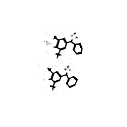 CC(C)(C)c1cc(C(c2ccccc2)P(=O)([O-])[O-])cc(C(C)(C)C)c1O.CC(C)(C)c1cc(C(c2ccccc2)P(=O)([O-])[O-])cc(C(C)(C)C)c1O.[Ba+2].[Ba+2]